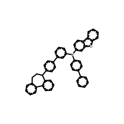 c1ccc(-c2ccc(N(c3cccc(-c4ccc(C5CCc6ccccc6-c6ccccc65)cc4)c3)c3ccc4c(c3)oc3ccccc34)cc2)cc1